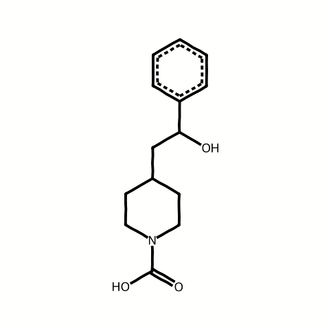 O=C(O)N1CCC(CC(O)c2ccccc2)CC1